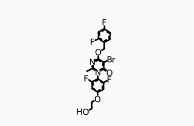 Cc1nc(OCc2ccc(F)cc2F)c(Br)c(=O)n1-c1c(F)cc(OCCO)cc1F